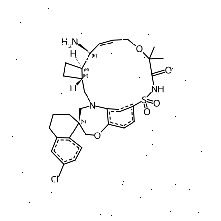 CC1(C)OCC=C[C@H](N)[C@@H]2CC[C@H]2CN2C[C@@]3(CCCc4cc(Cl)ccc43)COc3ccc(cc32)S(=O)(=O)NC1=O